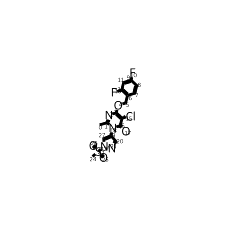 Cc1nc(OCc2ccc(F)cc2F)c(Cl)c(=O)n1-c1cnn(S(C)(=O)=O)c1